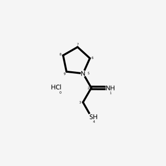 Cl.N=C(CS)N1CCCC1